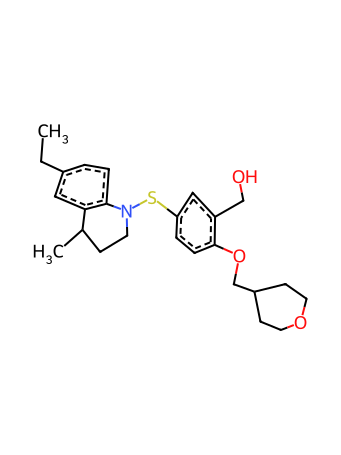 CCc1ccc2c(c1)C(C)CCN2Sc1ccc(OCC2CCOCC2)c(CO)c1